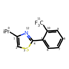 CC(C)c1csc(-c2ccccc2C(F)(F)F)n1